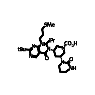 CSCCCNc1nc(C(C)(C)C)ncc1C(=O)N(CC(C)C)[C@H]1C[C@@H](N2CCCNC2=O)CN(C(=O)O)C1